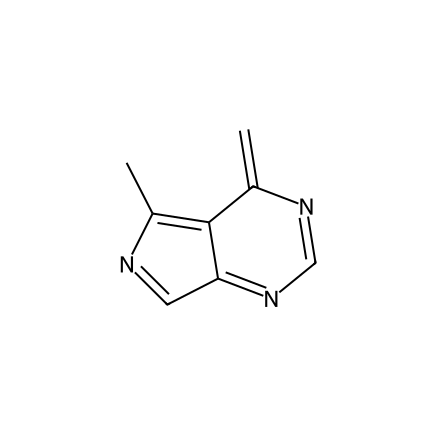 C=c1ncnc2c1=C(C)N=C2